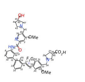 COc1cc(C(=O)Nc2cccc(-c3cccc(/C=C/c4cc(OC)c(CN5CC[C@@H](C(=O)O)C5)cc4C(F)(F)F)c3C)c2C)ncc1CN1CC[C@@H](O)C1